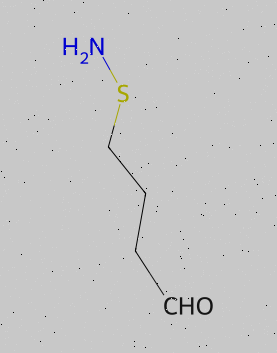 NSCCCC=O